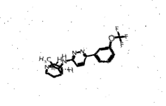 C[C@@H]1[C@@H](Nc2ccc(-c3cccc(OC(F)(F)F)c3)nn2)C2CCN1CC2